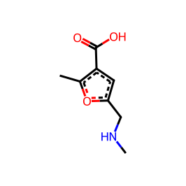 CNCc1cc(C(=O)O)c(C)o1